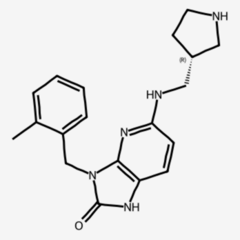 Cc1ccccc1Cn1c(=O)[nH]c2ccc(NC[C@@H]3CCNC3)nc21